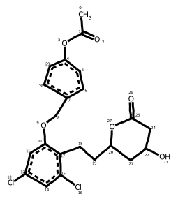 CC(=O)Oc1ccc(COc2cc(Cl)cc(Cl)c2CCC2CC(O)CC(=O)O2)cc1